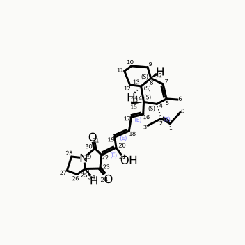 C/C=C(/C)[C@H]1C(C)=C[C@H]2CCCC[C@@H]2[C@@]1(C)/C=C/C=C/C(O)=C1/C(=O)[C@@H]2CCCN2C1=O